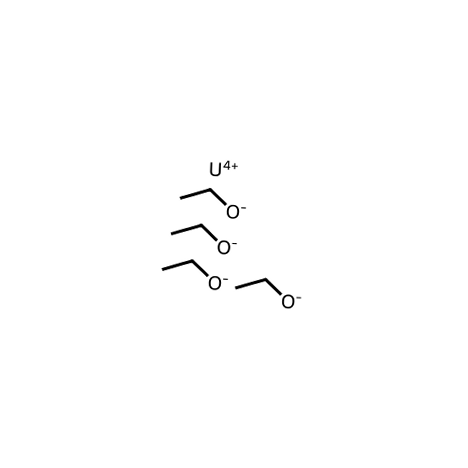 CC[O-].CC[O-].CC[O-].CC[O-].[U+4]